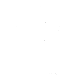 CCCCOc1c(CC(N)c2ccc(CNC)o2)cc(Cl)c2cccnc12